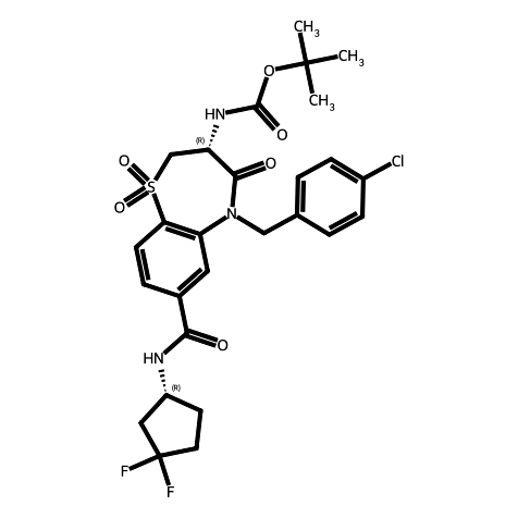 CC(C)(C)OC(=O)N[C@H]1CS(=O)(=O)c2ccc(C(=O)N[C@@H]3CCC(F)(F)C3)cc2N(Cc2ccc(Cl)cc2)C1=O